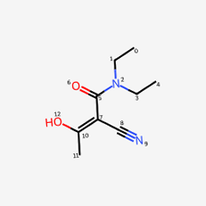 CCN(CC)C(=O)/C(C#N)=C(/C)O